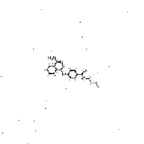 CCCCOC(=O)c1ccc(Nc2nnc(N)c3ccccc23)cc1